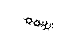 C/C=C(/C(C)[C@@H](C)[C@H](C)O)S(=O)(=O)c1ccc(-c2ccc(O)cc2)cc1